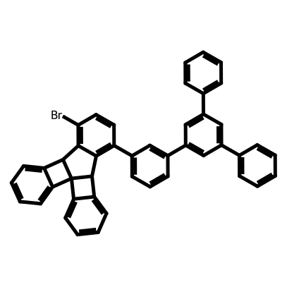 Brc1ccc(-c2cccc(-c3cc(-c4ccccc4)cc(-c4ccccc4)c3)c2)c2c1C1c3ccccc3C13c1ccccc1C23